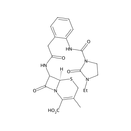 CCN1CCN(C(=O)Nc2ccccc2CC(=O)NC2C(=O)N3C(C(=O)O)=C(C)CS[C@H]23)C1=O